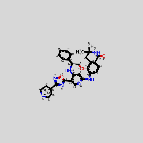 CC1(C)Cc2cc(Nc3cc(N[C@H](CO)c4ccccc4)c(-c4nc(C56CCN(CC5)CC6)no4)cn3)ccc2C(=O)N1